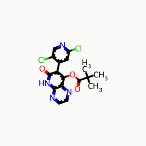 CC(C)(C)C(=O)Oc1c(-c2cc(Cl)ncc2Cl)c(=O)[nH]c2nccnc12